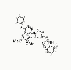 COc1cc2c(Cc3ccccc3)nnc(N3CCN(CC(=O)Nc4c(F)cccc4F)CC3)c2cc1OC